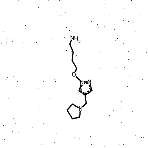 NCCCCOn1cc(CN2CCCC2)cn1